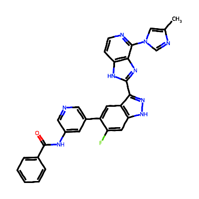 Cc1cn(-c2nccc3[nH]c(-c4n[nH]c5cc(F)c(-c6cncc(NC(=O)c7ccccc7)c6)cc45)nc23)cn1